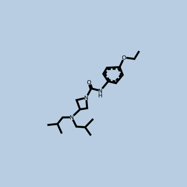 CCOc1ccc(NC(=O)N2CC(N(CC(C)C)CC(C)C)C2)cc1